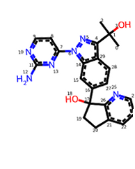 CC(C)(O)c1nn(-c2ccnc(N)n2)c2cc(C3(O)CCc4cccnc43)ccc12